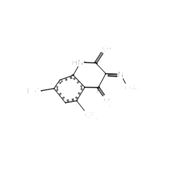 CC(=O)ON=C1C(=O)Nc2cc(C(F)(F)F)cc(C(F)(F)F)c2C1=O